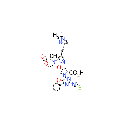 C[C@@H]1N(c2cc(C#Cc3ccn(C)n3)cnc2O[C@H]2C[C@@H](C(=O)O)N(c3nc(N4CC(F)(F)C4)nc4c3oc3ccccc34)C2)CCOC12COC2